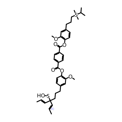 CC=CC(/C=C/C)(CCCc1ccc(OC(=O)c2ccc(C(=O)Oc3ccc(CCCS(C)(C)C(C)C)cc3OC)cc2)c(OC)c1)SO